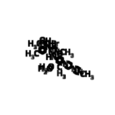 COc1cc(N2CCC(N3CCN(C)CC3)CC2)c(C)cc1Nc1ncc(Br)c(Nc2ccc(C)cc2P(C)(C)=O)n1.O.O